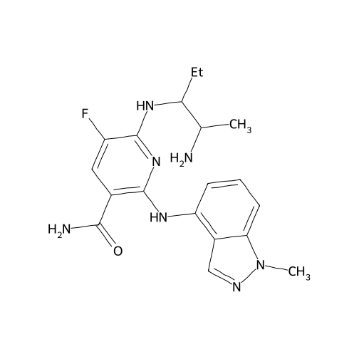 CCC(Nc1nc(Nc2cccc3c2cnn3C)c(C(N)=O)cc1F)C(C)N